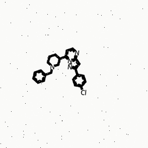 Clc1ccc(-c2cc3nccc(C4CCCN(Cc5ccccc5)C4)n3n2)cc1